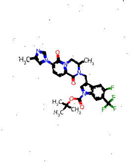 Cc1cn(-c2ccc3n(c2=O)CC(C)N(Cc2cn(C(=O)OC(C)(C)C)c4cc(C(F)(F)F)c(F)cc24)C3=O)cn1